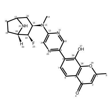 Cc1cc(=O)c2ccc(-c3cnc(N(C)[C@@H]4CC5CC[C@H](N5)[C@@H]4F)cn3)c(O)c2o1